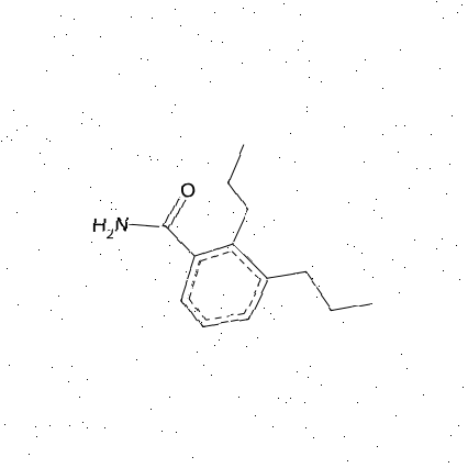 CCCc1cccc(C(N)=O)c1CCC